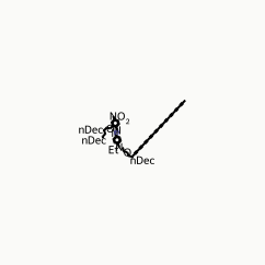 CC#CC#CC#CC#CC#CC#CC#CC#CC#CC#CC(CCCCCCCCCC)COCCN(CC)c1ccc(/N=N/c2ccc([N+](=O)[O-])cc2OCC(CCCCCCCCCC)CCCCCCCCCCCC)cc1